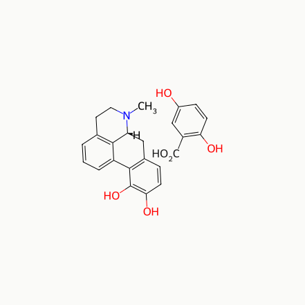 CN1CCc2cccc3c2[C@H]1Cc1ccc(O)c(O)c1-3.O=C(O)c1cc(O)ccc1O